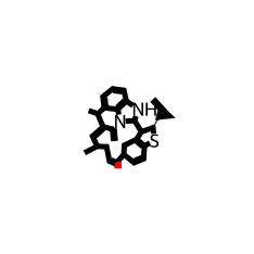 C=CCC(C)/C=C1\C(=C)N2c3c(cccc3C1C)NC2C1C2=C(C=CC(C)C2)S[C@H]1C1CC1=C